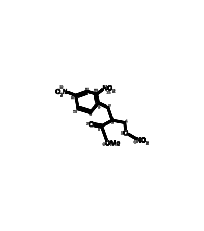 COC(=O)C(CO[N+](=O)[O-])Cc1ccc([N+](=O)[O-])cc1[N+](=O)[O-]